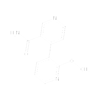 COc1ncccc1-c1ccncc1C(N)=O